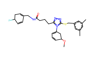 COC1C=CC=C(n2c(CCCC(=O)NCC3=CCC(F)C=C3)nnc2SCc2cc(C)cc(C)c2)C1